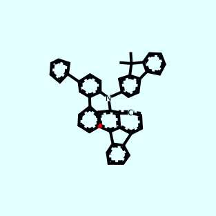 CC1(C)c2ccccc2-c2ccc(N(c3ccc(-c4ccccc4)cc3-c3ccccc3)c3ccc4c5c(cccc35)-c3ccccc3-4)cc21